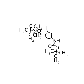 CC(C)(C)OC(=O)N[C@@H]1CN[C@H](CO[Si](C)(C)C(C)(C)C)C1